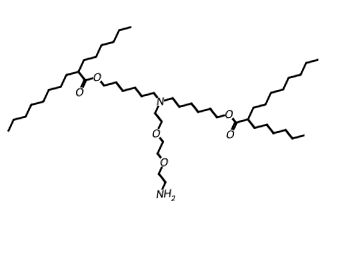 CCCCCCCCC(CCCCCC)C(=O)OCCCCCCN(CCCCCCOC(=O)C(CCCCCC)CCCCCCCC)CCOCCOCCN